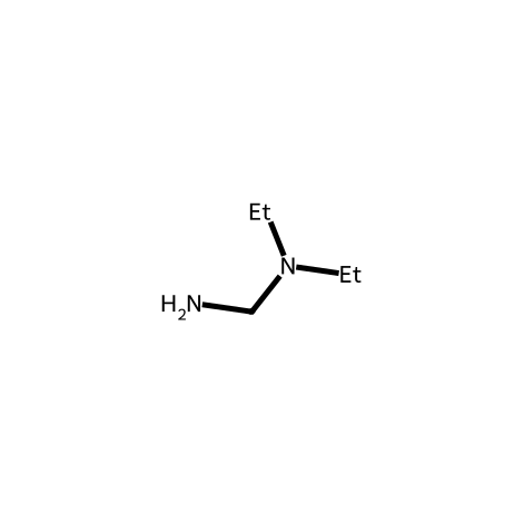 CCN(CC)CN